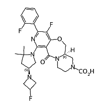 CC1(C)C[C@H](N2CC(F)C2)CN1c1nc(-c2ccccc2F)c(F)c2c1C(=O)N1CCN(C(=O)O)C[C@@H]1CO2